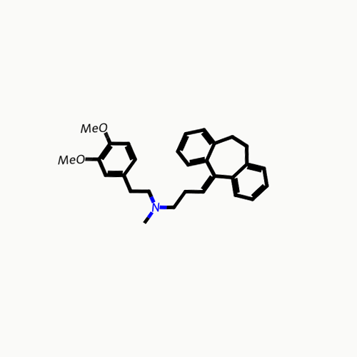 COc1ccc(CCN(C)CCC=C2c3ccccc3CCc3ccccc32)cc1OC